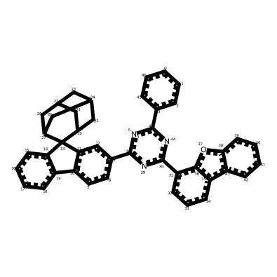 c1ccc(-c2nc(-c3ccc4c(c3)C3(c5ccccc5-4)C4CC5CC(C4)CC3C5)nc(-c3cccc4c3oc3ccccc34)n2)cc1